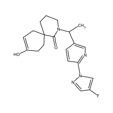 CC(c1ccc(-n2cc(F)cn2)nc1)N1CCCC2(CC=C(O)CC2)C1=O